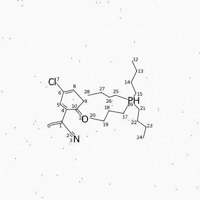 C=C(C#N)C1=CC(Cl)=CCC1=O.CCCC[PH](CCCC)(CCCC)CCCC